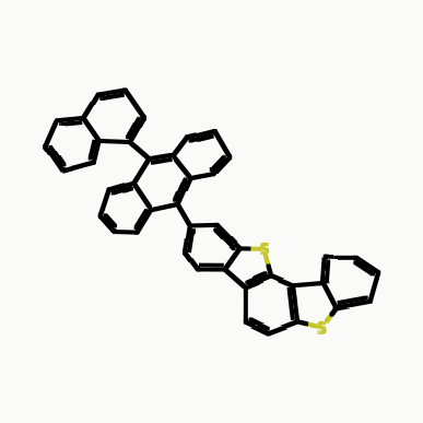 c1ccc2c(-c3c4ccccc4c(-c4ccc5c(c4)sc4c5ccc5sc6ccccc6c54)c4ccccc34)cccc2c1